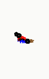 O=C(Nc1ccc(Br)cc1)NS(=O)(=O)c1ccc2c(c1)CC=C2